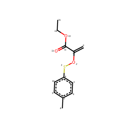 C=C(OSc1ccc(C)cc1)C(=O)OCC